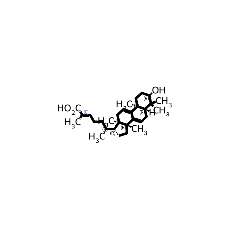 C/C(=C\CC[C@@H](C)[C@H]1CC[C@@]2(C)C3=CC[C@H]4C(C)(C)[C@H](O)CC[C@]4(C)C3=CC[C@]12C)C(=O)O